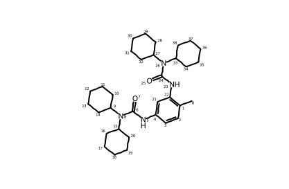 Cc1ccc(NC(=O)N(C2CCCCC2)C2CCCCC2)cc1NC(=O)N(C1CCCCC1)C1CCCCC1